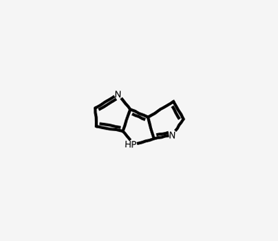 C1=Cc2c3c([pH]c2=N1)=CC=N3